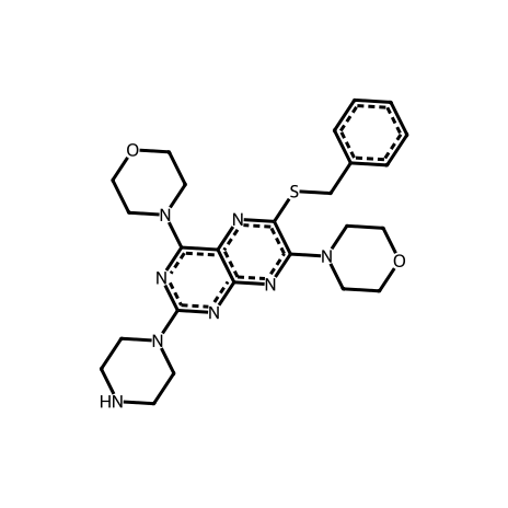 c1ccc(CSc2nc3c(N4CCOCC4)nc(N4CCNCC4)nc3nc2N2CCOCC2)cc1